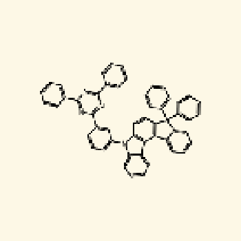 c1ccc(-c2nc(-c3ccccc3)nc(-c3cccc(-n4c5ccccc5c5c6c(ccc54)C(c4ccccc4)(c4ccccc4)c4ccccc4-6)c3)n2)cc1